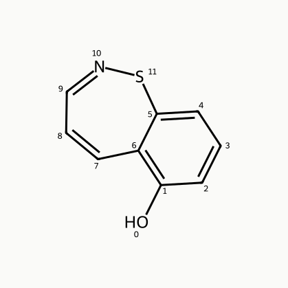 Oc1cccc2c1C=CC=NS2